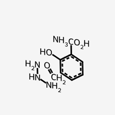 C=O.N.NNN.O=C(O)c1ccccc1O